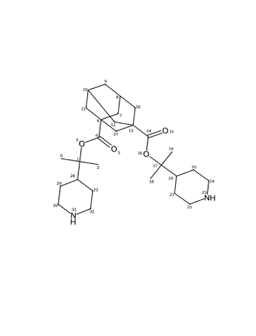 CC(C)(OC(=O)C12CC3CC(C1)CC(C(=O)OC(C)(C)C1CCNCC1)(C3)C2)C1CCNCC1